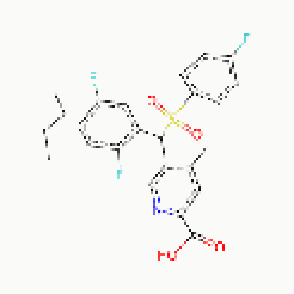 CCCC.Cc1cc(C(=O)O)ncc1C(c1cc(F)ccc1F)S(=O)(=O)c1ccc(F)cc1